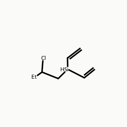 C=C[SiH](C=C)CC(Cl)CC